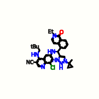 CCn1ccc2c([C@H](Nc3cc(Cl)c4ncc(C#N)c(NCC(C)(C)C)c4c3)C3=CN(C4(C)CC4)NN3)cccc2c1=O